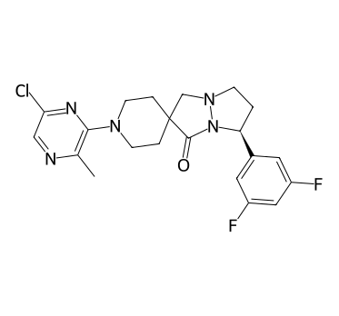 Cc1ncc(Cl)nc1N1CCC2(CC1)CN1CC[C@@H](c3cc(F)cc(F)c3)N1C2=O